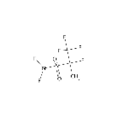 CC(F)(C(F)(F)F)S(=O)(=O)N(F)F